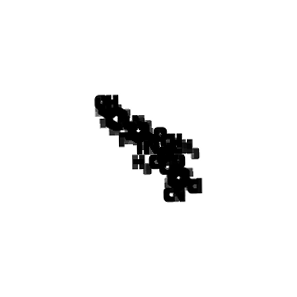 CC1(C)[C@H](NC(=O)c2cnc(N3CCC(CO)CC3)c(F)c2)C(C)(C)[C@H]1Oc1ccc(C#N)c(Cl)c1